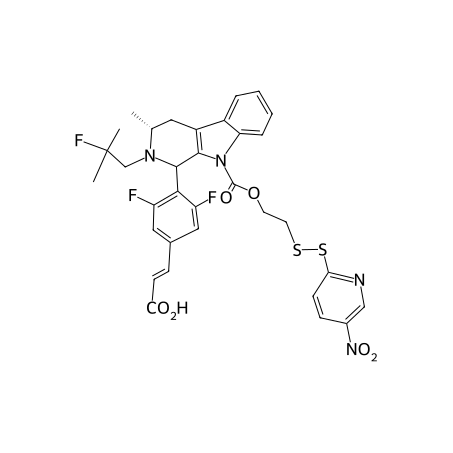 C[C@@H]1Cc2c(n(C(=O)OCCSSc3ccc([N+](=O)[O-])cn3)c3ccccc23)C(c2c(F)cc(/C=C/C(=O)O)cc2F)N1CC(C)(C)F